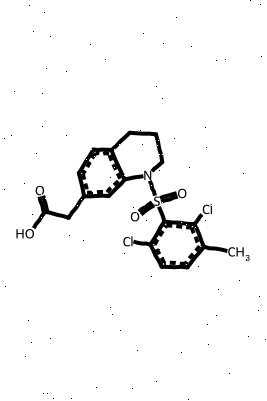 Cc1ccc(Cl)c(S(=O)(=O)N2CCCc3ccc(CC(=O)O)cc32)c1Cl